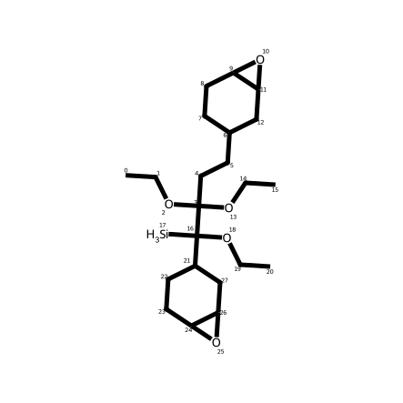 CCOC(CCC1CCC2OC2C1)(OCC)C([SiH3])(OCC)C1CCC2OC2C1